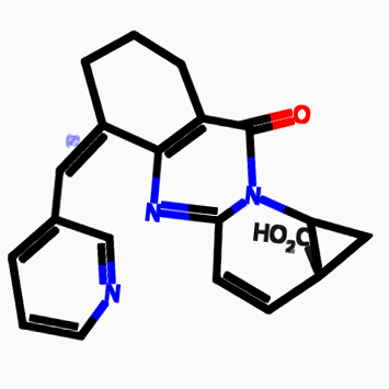 O=C(O)C12C=Cc3nc4c(c(=O)n3C1C2)CCC/C4=C/c1cccnc1